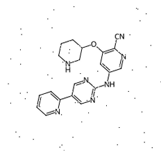 N#Cc1ncc(Nc2ncc(-c3ccccn3)cn2)cc1OC1CCCNC1